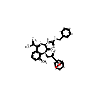 Cc1cccc2c1N(CC(=O)N1CC3CCC(CC3)C1)C(=O)[C@@H](NC(=O)OCc1ccccc1)N=C2C(C)C